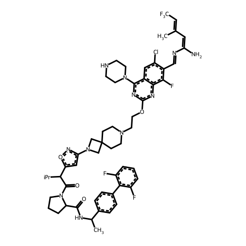 CC(/C=C(N)\N=C\c1c(Cl)cc2c(N3CCNCC3)nc(OCCN3CCC4(CC3)CN(c3cc(C(C(=O)N5CCCC5C(=O)NC(C)c5ccc(-c6c(F)cccc6F)cc5)C(C)C)on3)C4)nc2c1F)=C\C(F)(F)F